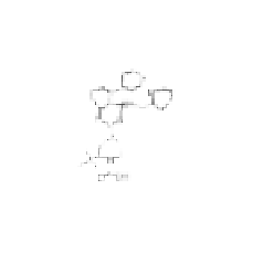 CC(C)(C)C1CC(c2nc(NCc3ccccn3)c3c(-c4ccccc4)cccc3n2)CCN1C(=O)O